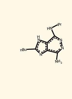 CCCCc1nc2c(N)nnc(NC(C)C)c2[nH]1